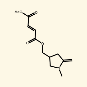 C=C1CC(COC(=O)/C=C/C(=O)OC)CN1C